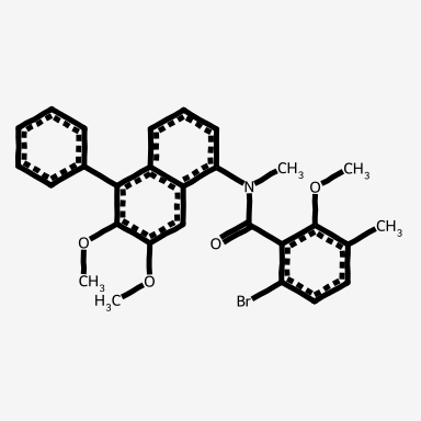 COc1cc2c(N(C)C(=O)c3c(Br)ccc(C)c3OC)cccc2c(-c2ccccc2)c1OC